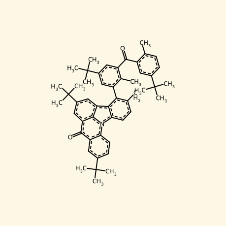 Cc1ccc(C(C)(C)C)cc1C(=O)c1cc(C(C)(C)C)cc(-c2c(C)ccc3c2c2cc(C(C)(C)C)cc4c(=O)c5cc(C(C)(C)C)ccc5n3c42)c1C